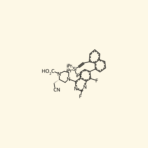 CC(C)[Si](C#Cc1cccc2cccc(-c3ccc4c(N5CCN(C(=O)O)[C@@H](CC#N)C5)nc(F)nc4c3F)c12)(C(C)C)C(C)C